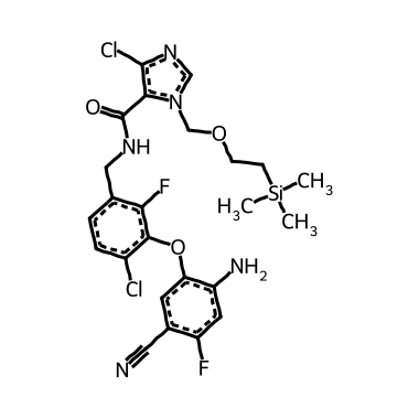 C[Si](C)(C)CCOCn1cnc(Cl)c1C(=O)NCc1ccc(Cl)c(Oc2cc(C#N)c(F)cc2N)c1F